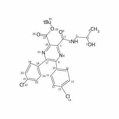 CC(O)CNC(=O)c1nc(-c2ccc(Cl)cc2)c(-c2ccc(Cl)cc2)nc1C(=O)OC(C)(C)C